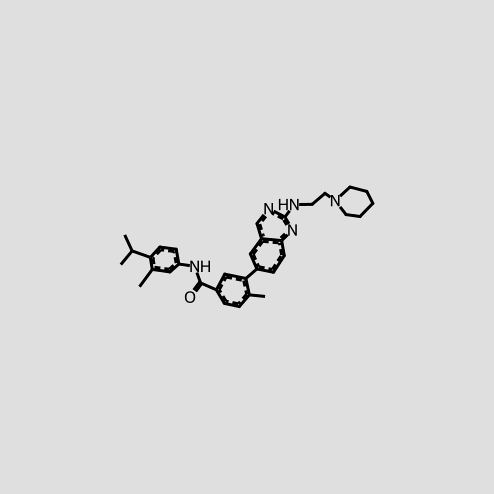 Cc1ccc(C(=O)Nc2ccc(C(C)C)c(C)c2)cc1-c1ccc2nc(NCCN3CCCCC3)ncc2c1